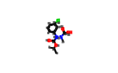 CC(C)OC(=O)N(c1cccc(Cl)c1)N(C)C(=O)O